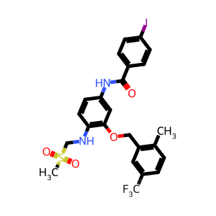 Cc1ccc(C(F)(F)F)cc1COc1cc(NC(=O)c2ccc(I)cc2)ccc1NCS(C)(=O)=O